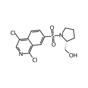 O=S(=O)(c1ccc2c(Cl)cnc(Cl)c2c1)N1CCC[C@@H]1CO